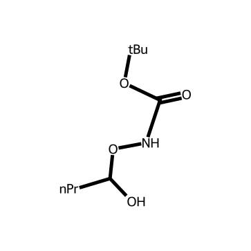 CCCC(O)ONC(=O)OC(C)(C)C